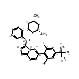 C[C@@H]1C[C@H](N)C[C@H](c2ccncc2Nc2ncc3ccc(-c4c(F)cc(C(C)(C)O)cc4F)nn23)C1